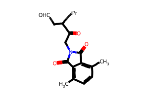 Cc1ccc(C)c2c1C(=O)N(CC(=O)C(CC=O)C(C)C)C2=O